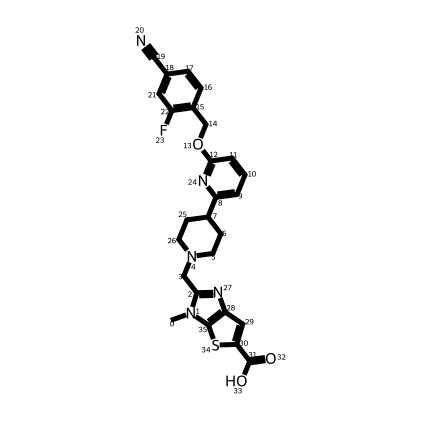 Cn1c(CN2CCC(c3cccc(OCc4ccc(C#N)cc4F)n3)CC2)nc2cc(C(=O)O)sc21